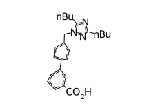 CCCCc1nc(CCCC)n(Cc2ccc(-c3cccc(C(=O)O)c3)cc2)n1